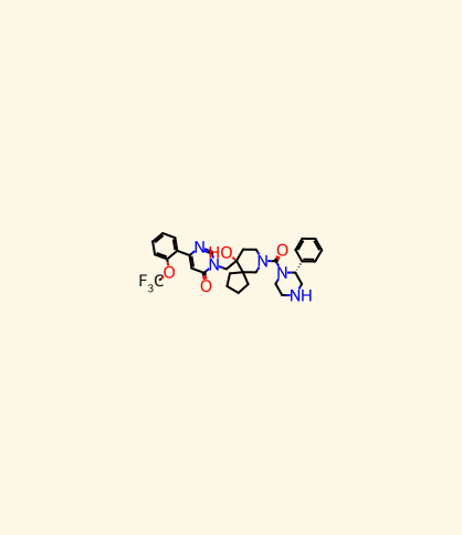 O=C(N1CC[C@@](O)(Cn2cnc(-c3ccccc3OC(F)(F)F)cc2=O)C2(CCCC2)C1)N1CCNC[C@H]1c1ccccc1